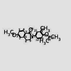 COc1ccc2c(c1)CCN(c1ccc(OC(C)C)c(C)c1)C2=O